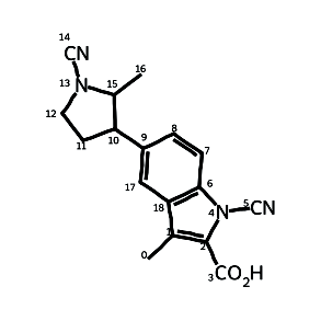 Cc1c(C(=O)O)n(C#N)c2ccc(C3CCN(C#N)C3C)cc12